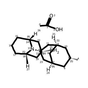 CC(=O)O.C[C@@H]1C[C@@H]2C[C@H](C1)C[C@@H](N1[C@@H]3CCC[C@H]1C[C@@H](N)C3)C2